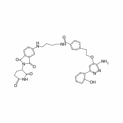 Nc1nnc(-c2ccccc2O)cc1OCCc1ccc(C(=O)NCCCCNc2ccc3c(c2)C(=O)N(C2CCC(=O)NC2=O)C3=O)cc1